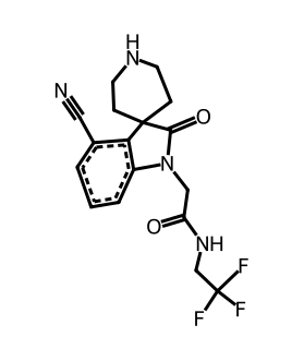 N#Cc1cccc2c1C1(CCNCC1)C(=O)N2CC(=O)NCC(F)(F)F